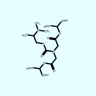 CCCCCCC(CCCCCC)OC(=O)CN(CC(=O)OC(CCCCCC)CCCCCC)C(=O)SCC(C)N(C)C